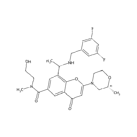 CC(NCc1cc(F)cc(F)c1)c1cc(C(=O)N(C)CCO)cc2c(=O)cc(N3CCO[C@H](C)C3)oc12